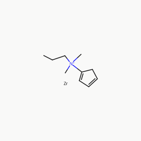 CCC[N+](C)(C)C1=CC=CC1.[Zr]